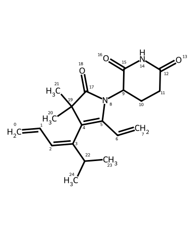 C=C/C=C(\C1=C(C=C)N(C2CCC(=O)NC2=O)C(=O)C1(C)C)C(C)C